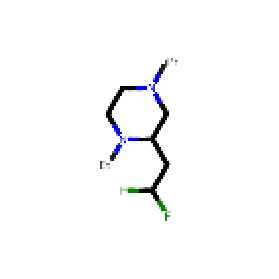 CCN1CCN(C(C)C)CC1CC(F)F